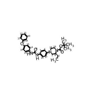 CC[C@H]1CN(c2ccc(NC(=O)Nc3ccc(Oc4ccccc4)cc3)cc2)CCN1C(=O)OC(C)(C)C